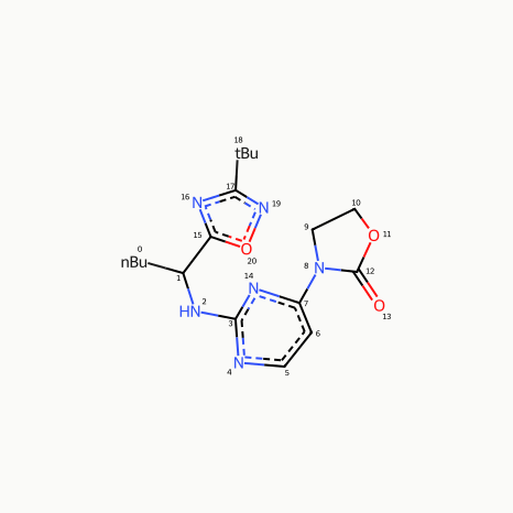 CCCCC(Nc1nccc(N2CCOC2=O)n1)c1nc(C(C)(C)C)no1